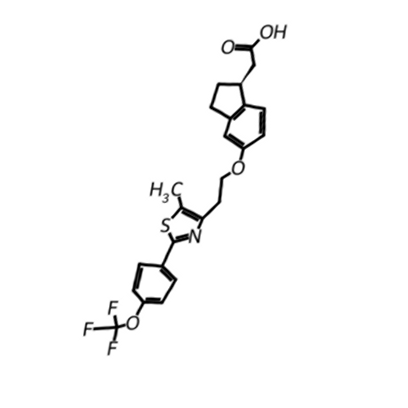 Cc1sc(-c2ccc(OC(F)(F)F)cc2)nc1CCOc1ccc2c(c1)CC[C@H]2CC(=O)O